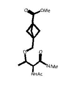 CNC(=O)C(NC(C)=O)C(C)OCC12CC(C(=O)OC)(C1)C2